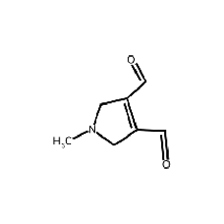 CN1CC(C=O)=C(C=O)C1